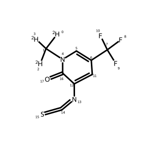 [2H]C([2H])([2H])n1cc(C(F)(F)F)cc(N=C=S)c1=O